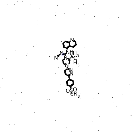 CC(C)[C@H]1CN(c2ccc(-c3ccc(S(C)(=O)=O)cc3)nn2)CCN1/C(=N\C#N)Nc1cccc2ncccc12